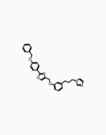 c1ccc(COc2ccc(-c3nc(COc4cccc(CCCn5ccnc5)c4)co3)cc2)cc1